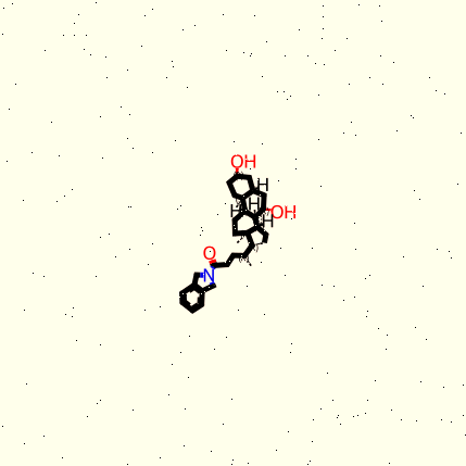 C[C@H](CCC(=O)N1Cc2ccccc2C1)[C@H]1CC[C@H]2[C@@H]3[C@H](O)C[C@@H]4C[C@H](O)CC[C@]4(C)[C@H]3CC[C@]12C